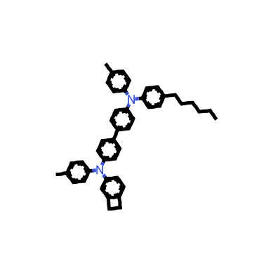 CCCCCCc1ccc(N(c2ccc(C)cc2)c2ccc(-c3ccc(N(c4ccc(C)cc4)c4ccc5c(c4)CC5)cc3)cc2)cc1